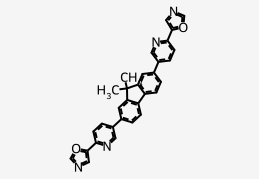 CC1(C)c2cc(-c3ccc(-c4cnco4)nc3)ccc2-c2ccc(-c3ccc(-c4cnco4)nc3)cc21